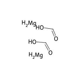 O=CO.O=CO.[MgH2].[MgH2]